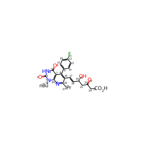 CCCCn1c(=O)[nH]c(=O)c2c(-c3ccc(F)cc3)c(C=CC(O)CC(=O)CC(=O)O)c(C(C)C)nc21